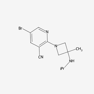 CC(C)NC1(C)CN(c2ncc(Br)cc2C#N)C1